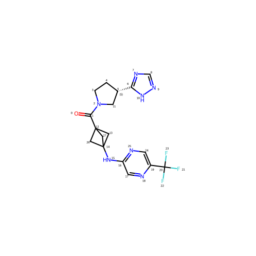 O=C(N1CC[C@H](c2ncn[nH]2)C1)C12CC(Nc3cnc(C(F)(F)F)cn3)(C1)C2